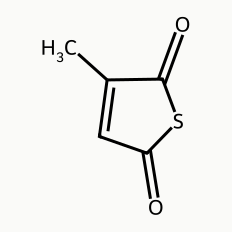 CC1=CC(=O)SC1=O